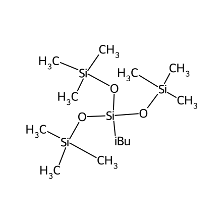 CCC(C)[Si](O[Si](C)(C)C)(O[Si](C)(C)C)O[Si](C)(C)C